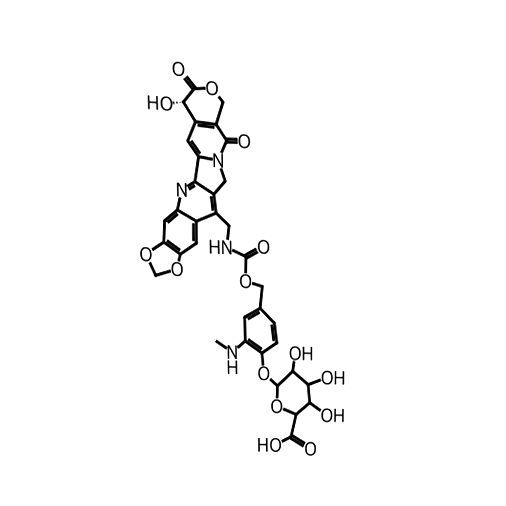 CNc1cc(COC(=O)NCc2c3c(nc4cc5c(cc24)OCO5)-c2cc4c(c(=O)n2C3)COC(=O)[C@H]4O)ccc1OC1OC(C(=O)O)C(O)C(O)C1O